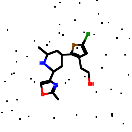 Cc1nc(C2CC(c3sc(Cl)cc3CCO)CC(C)N2)co1